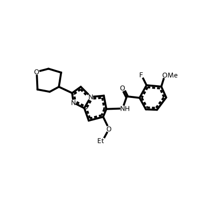 CCOc1cc2nc(C3CCOCC3)cn2cc1NC(=O)c1cccc(OC)c1F